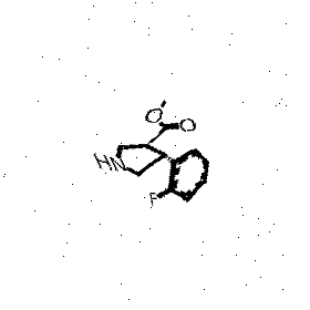 COC(=O)[C@@H]1CNC[C@H]1c1ccccc1F